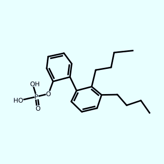 CCCCc1cccc(-c2ccccc2OP(=O)(O)O)c1CCCC